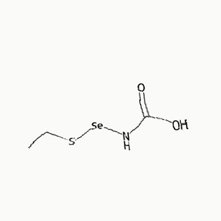 CCS[Se]NC(=O)O